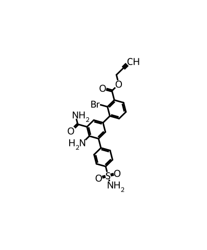 C#CCOC(=O)c1cccc(-c2cc(C(N)=O)c(N)c(-c3ccc(S(N)(=O)=O)cc3)c2)c1Br